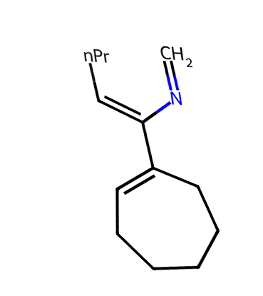 C=N/C(=C\CCC)C1=CCCCCC1